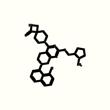 CN1CCCC1COc1nc2c(c(N3CCC4(CC3)CNC4=O)n1)CCN(c1cccc3cccc(Cl)c13)C2